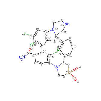 NC(=O)c1ccc(N2CCS(=O)(=O)CC2)c(F)c1-c1c(Cl)c(F)cc2c1CC1(c3ccccc3)CNCCN21